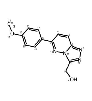 OCc1nnc2ccc(-c3ccc(OC(F)(F)F)cc3)nn12